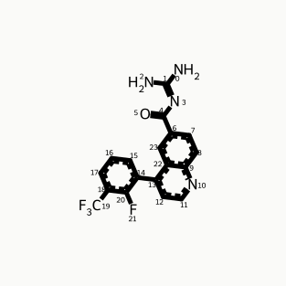 NC(N)=NC(=O)c1ccc2nccc(-c3cccc(C(F)(F)F)c3F)c2c1